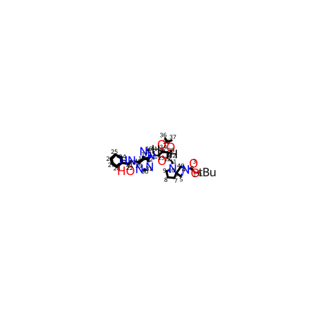 CC(C)(C)OC(=O)N1CC2(CCCN2C[C@H]2O[C@@H](n3cnc4c(NC(O)c5ccccc5)ncnc43)[C@@H]3OC(C)(C)O[C@@H]32)C1